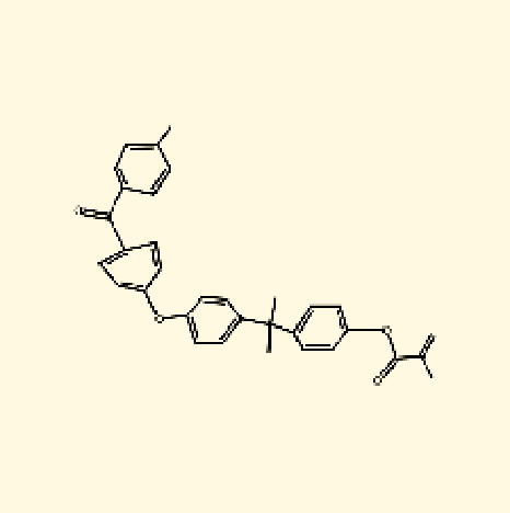 C=C(C)C(=O)Oc1ccc(C(C)(C)c2ccc(Oc3ccc(C(=O)c4ccc(C)cc4)cc3)cc2)cc1